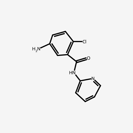 Nc1ccc(Cl)c(C(=O)Nc2ccccn2)c1